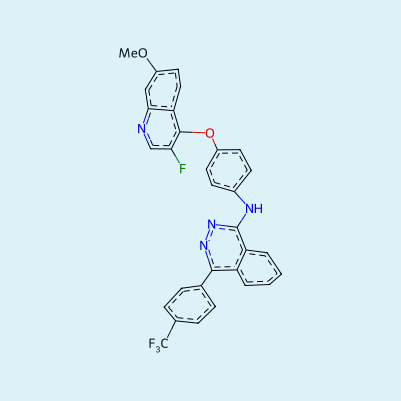 COc1ccc2c(Oc3ccc(Nc4nnc(-c5ccc(C(F)(F)F)cc5)c5ccccc45)cc3)c(F)cnc2c1